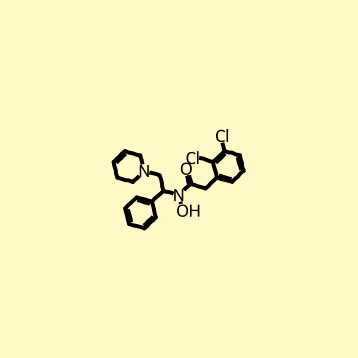 O=C(Cc1cccc(Cl)c1Cl)N(O)C(CN1CC=CCC1)c1ccccc1